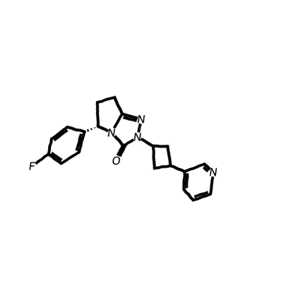 O=c1n(C2CC(c3cccnc3)C2)nc2n1[C@H](c1ccc(F)cc1)CC2